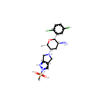 C[C@@H]1O[C@H](c2cc(F)ccc2F)[C@@H](N)C[C@@H]1N1Cc2cn(S(C)(=O)=O)nc2C1